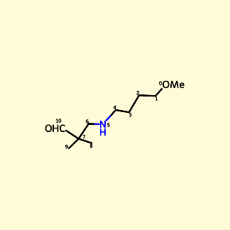 COCCCCNCC(C)(C)C=O